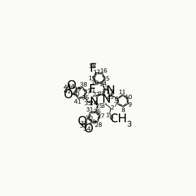 CCCCn1c(-c2ccccc2)nc(-c2ccc(F)cc2F)c1CN(Cc1ccc2c(c1)OCO2)Cc1ccc2c(c1)OCO2